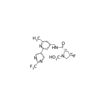 Cc1cc(CNC(=O)[C@@H]2C[C@@H](F)CN2C(=O)O)cc(-c2cnc(C(F)(F)F)nc2)n1